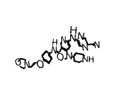 CN(c1cc(Nc2cnc(C#N)cn2)ncc1C(=O)Nc1ccc(OCCN2CCOCC2)cc1)C1CCNCC1